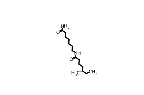 CC[C@H](C)CCCC(=O)NCCCCCCC(N)=O